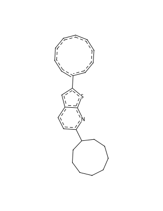 c1ccccc(-c2cc3ccc(C4CCCCCCCC4)nc3s2)cccc1